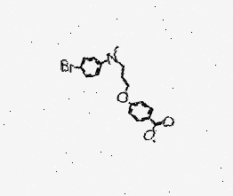 COC(=O)c1ccc(OCCCN(C)c2ccc(Br)cc2)cc1